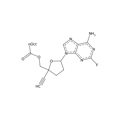 C#CC1(COC(=O)CCCCCCCC)CCC(n2cnc3c(N)nc(F)nc32)O1